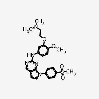 COc1ccc(Nc2ncc3ccn(-c4ccc(S(C)(=O)=O)cc4)c3n2)cc1OCCN(C)C